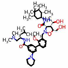 COc1c(CN2O[C@@H](CO)[C@@H]([C@H](C)O)[C@H]2C(=O)N[C@H]2C[C@@H](C)C(C)(C)[C@@H](C)[C@@H]2C)cccc1-c1cc(C(=O)N[C@@H](CC(C)C)CN(C)C)cc(N2CCCCC2)c1